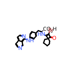 O=C(O)[C@H](Cc1ccc(Nc2nccc3ccncc23)cc1)NC1=C(Br)C(=O)C12CCCCC2